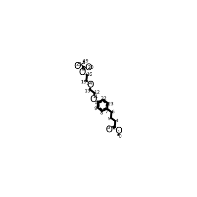 COC(=O)CCCc1ccc(OCCOCCOS(C)(=O)=O)cc1